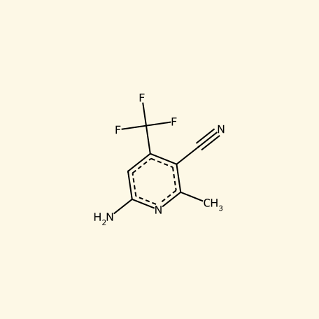 Cc1nc(N)cc(C(F)(F)F)c1C#N